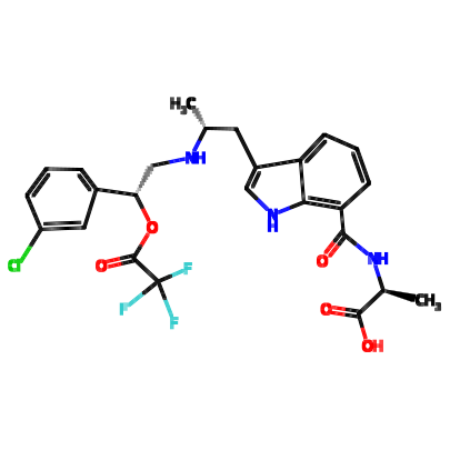 C[C@H](Cc1c[nH]c2c(C(=O)N[C@@H](C)C(=O)O)cccc12)NC[C@H](OC(=O)C(F)(F)F)c1cccc(Cl)c1